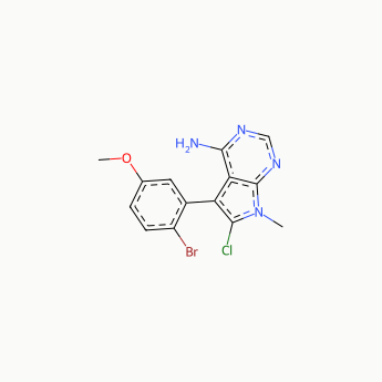 COc1ccc(Br)c(-c2c(Cl)n(C)c3ncnc(N)c23)c1